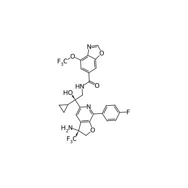 N[C@@]1(C(F)(F)F)COc2c1cc([C@@](O)(CNC(=O)c1cc(OC(F)(F)F)c3ncoc3c1)C1CC1)nc2-c1ccc(F)cc1